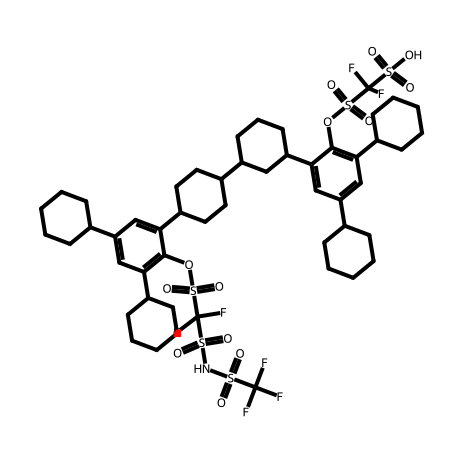 O=S(=O)(O)C(F)(F)S(=O)(=O)Oc1c(C2CCCCC2)cc(C2CCCCC2)cc1C1CCCC(C2CCC(c3cc(C4CCCCC4)cc(C4CCCCC4)c3OS(=O)(=O)C(F)(F)S(=O)(=O)NS(=O)(=O)C(F)(F)F)CC2)C1